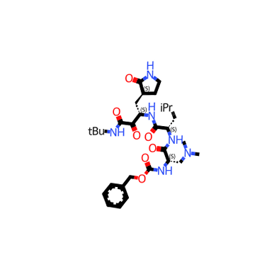 CC(C)C[C@H](NC(=O)[C@H](CN(C)C)NC(=O)OCc1ccccc1)C(=O)N[C@@H](C[C@@H]1CCNC1=O)C(=O)C(=O)NC(C)(C)C